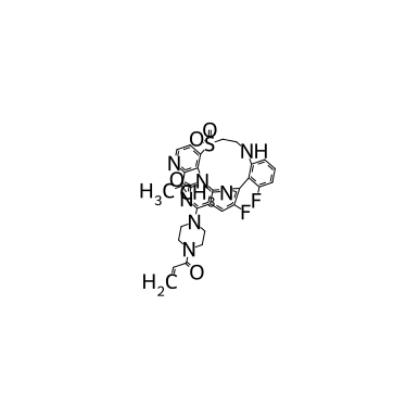 C=CC(=O)N1CCN(c2nc(=O)n3c4nc(c(F)cc24)-c2c(F)cccc2NCCS(=O)(=O)c2ccnc(C(C)C)c2-3)CC1